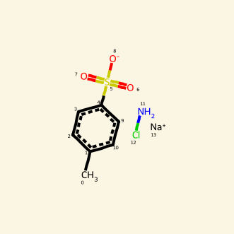 Cc1ccc(S(=O)(=O)[O-])cc1.NCl.[Na+]